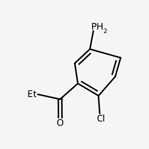 CCC(=O)c1cc(P)ccc1Cl